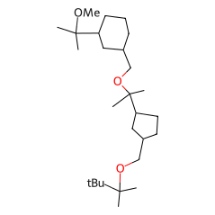 COC(C)(C)C1CCCC(COC(C)(C)C2CCC(COC(C)(C)C(C)(C)C)C2)C1